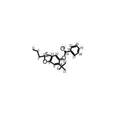 CCCC1Oc2cc(C(C)(C)C)c(OC(=O)c3ccccc3)cc2S1